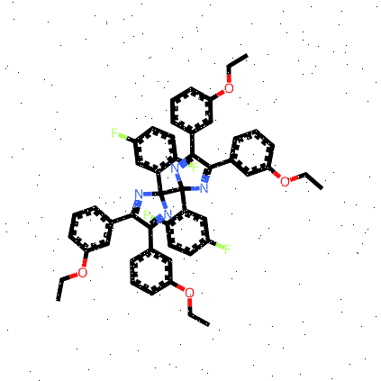 CCOc1cccc(C2=NC(c3cc(F)ccc3F)(C3(c4cc(F)ccc4F)N=C(c4cccc(OCC)c4)C(c4cccc(OCC)c4)=N3)N=C2c2cccc(OCC)c2)c1